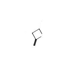 C[C@@H]1OC(=O)[C@@H]1C